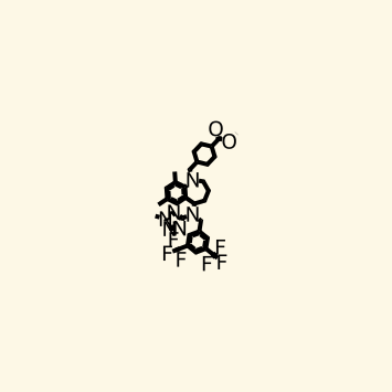 COC(=O)C1CCC(CN2CCCC(N(Cc3cc(C(F)(F)F)cc(C(F)(F)F)c3)c3nnn(C)n3)c3cc(C)cc(C)c32)CC1